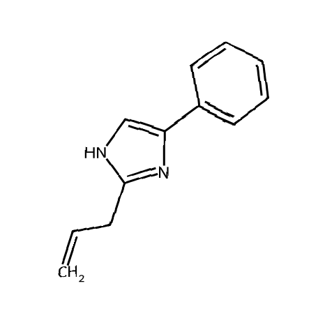 C=CCc1nc(-c2ccccc2)c[nH]1